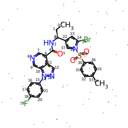 CC[C@H](NC(=O)c1cncc2c1cnn2-c1ccc(F)cc1)c1cc(Br)n(S(=O)(=O)c2ccc(C)cc2)c1